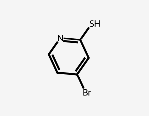 Sc1cc(Br)ccn1